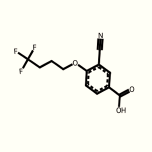 N#Cc1cc(C(=O)O)ccc1OCCCC(F)(F)F